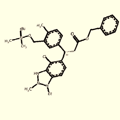 CCN1c2ccc([C@@H](CC(=O)OCc3ccccc3)c3ccc(C)c(CO[Si](C)(C)C(C)(C)C)c3)c(Cl)c2NN1C